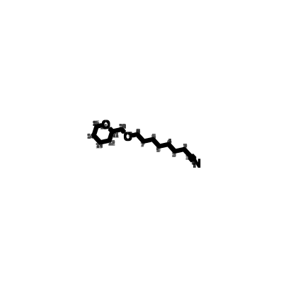 N#CCCCCCCCOCC1CCCCO1